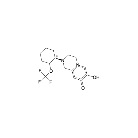 O=c1cc2n(cc1O)CCN([C@@H]1CCCCC1OC(F)(F)F)C2